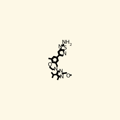 COCc1nc(C)c(C(C)C)c(N2CCOc3c(C)cc(-c4cnc5sc(N)nc5c4)cc3C2)n1